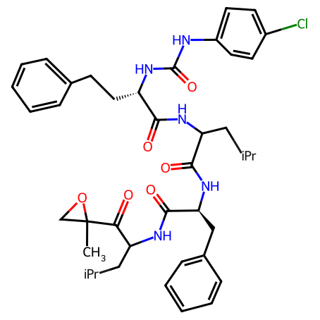 CC(C)CC(NC(=O)[C@H](CCc1ccccc1)NC(=O)Nc1ccc(Cl)cc1)C(=O)N[C@@H](Cc1ccccc1)C(=O)NC(CC(C)C)C(=O)C1(C)CO1